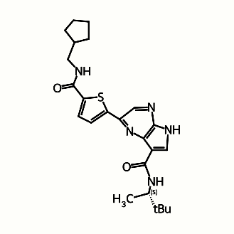 C[C@H](NC(=O)c1c[nH]c2ncc(-c3ccc(C(=O)NCC4CCCC4)s3)nc12)C(C)(C)C